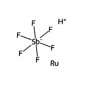 [F][Sb-]([F])([F])([F])([F])[F].[H+].[Ru]